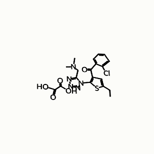 CCc1cc(C(=O)c2ccccc2Cl)c(-n2nnnc2CN(C)C)s1.O=C(O)C(=O)O